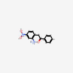 Nc1cc([N+](=O)[O-])ccc1CC(=O)c1ccccc1